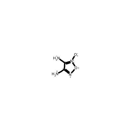 Nc1no[n+]([O-])c1N